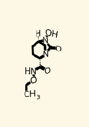 CCONC(=O)[C@@H]1CC[C@@H]2CN1C(=O)N2O